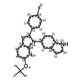 CC(C)(C)Oc1ccc2cc(-c3ccc(F)cc3)n(-c3ccc4[nH]ccc4c3)c2n1